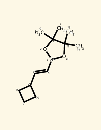 CC1(C)OB(C=CC2CCC2)OC1(C)C